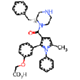 Cc1cc(C(=O)N2CCNC[C@H]2Cc2ccccc2)c(-c2cccc(OCC(=O)O)c2)n1-c1ccccc1